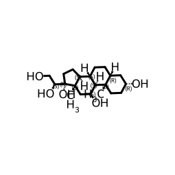 C[C@]12CC[C@@H](O)C[C@H]1CC[C@@H]1[C@@H]2[C@@H](O)C[C@@]2(C)[C@H]1CC[C@]2(O)[C@@H](O)CO